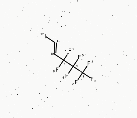 FC(F)(F)C(F)(F)C(F)(F)C=CI